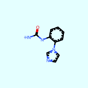 [NH]C(=O)[N]c1ccccc1-n1ccnc1